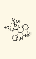 N=C(N)C(=C(C(=N)N)c1ccccc1O)c1ccccc1.O=S(=O)(O)CCO